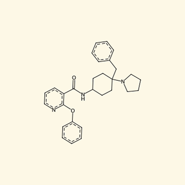 O=C(NC1CCC(Cc2ccccc2)(N2CCCC2)CC1)c1cccnc1Oc1ccccc1